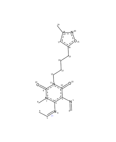 C=Nc1c(/N=C\C)n(C)c(=O)n(CCCCc2cc(C)no2)c1=O